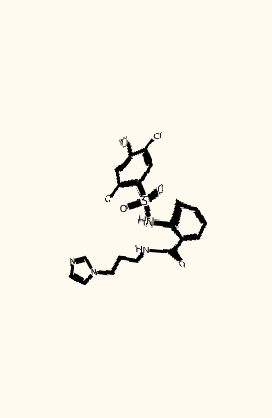 O=C(NCCCn1ccnc1)c1ccccc1NS(=O)(=O)c1cc(Cl)c(Cl)cc1Cl